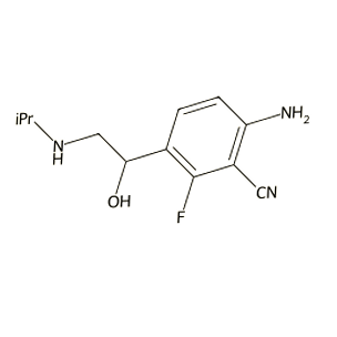 CC(C)NCC(O)c1ccc(N)c(C#N)c1F